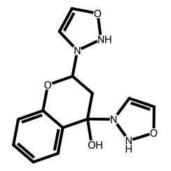 OC1(N2C=CON2)CC(N2C=CON2)Oc2ccccc21